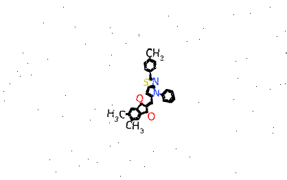 Cc1ccc(-c2nc3c(cc(C=C4C(=O)c5cc(C)c(C)cc5C4=O)n3-c3cc#ccc3)s2)cc1